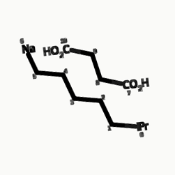 CC(C)CCCC[CH2][Na].O=C(O)CCC(=O)O